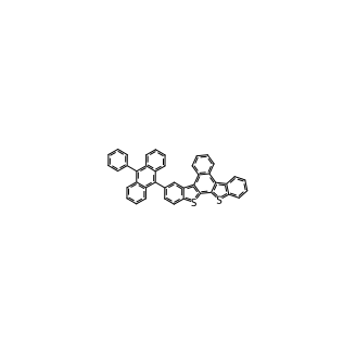 c1ccc(-c2c3ccccc3c(-c3ccc4sc5c6sc7ccccc7c6c6ccccc6c5c4c3)c3ccccc23)cc1